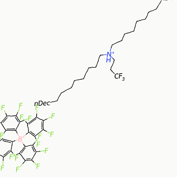 CCCCCCCCCCCCCCCCCC[NH+](CCCCCCCCCCCCCCCCCC)CCC(F)(F)F.Fc1c(F)c(F)c([B-](c2c(F)c(F)c(F)c(F)c2F)(c2c(F)c(F)c(F)c(F)c2F)c2c(F)c(F)c(F)c(F)c2F)c(F)c1F